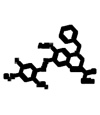 COC(=O)CCN(Cc1ccccc1)c1cc(NC(C)=O)c(/N=N/c2cc(F)c([N+](=O)[O-])cc2[N+](=O)[O-])cc1OC